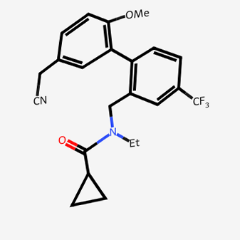 CCN(Cc1cc(C(F)(F)F)ccc1-c1cc(CC#N)ccc1OC)C(=O)C1CC1